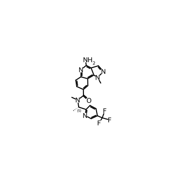 C[C@@H](c1ccc(C(F)(F)F)cn1)N(C)C(=O)c1ccc2nc(N)c3cnn(C)c3c2c1